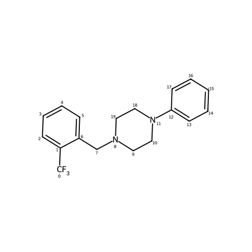 FC(F)(F)c1ccccc1CN1CCN(c2cc[c]cc2)CC1